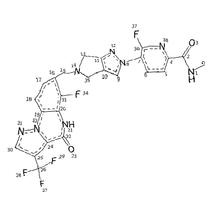 CNC(=O)c1ccc(-n2cc3c(n2)CN(Cc2ccc4c([nH]c(=O)c5c(C(F)(F)F)cnn54)c2F)C3)c(F)n1